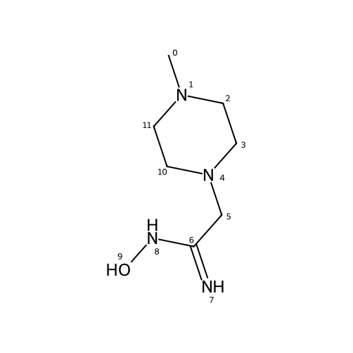 CN1CCN(CC(=N)NO)CC1